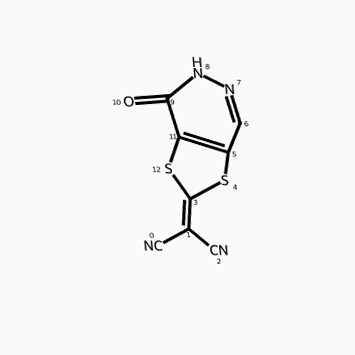 N#CC(C#N)=C1Sc2cn[nH]c(=O)c2S1